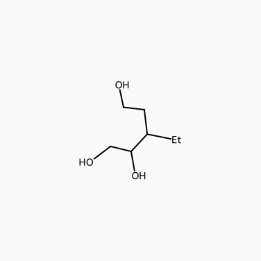 CCC(CCO)C(O)CO